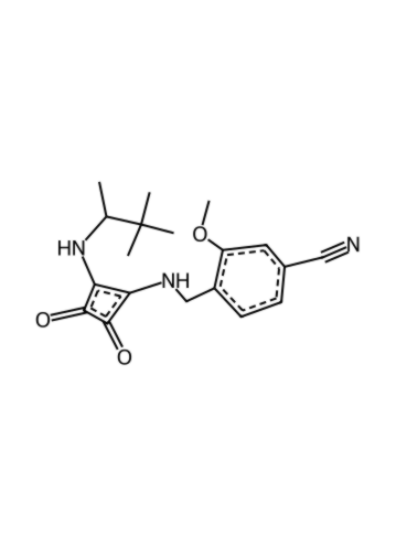 COc1cc(C#N)ccc1CNc1c(NC(C)C(C)(C)C)c(=O)c1=O